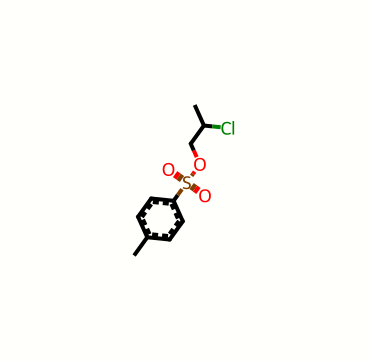 Cc1ccc(S(=O)(=O)OCC(C)Cl)cc1